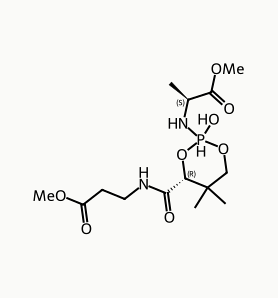 COC(=O)CCNC(=O)[C@@H]1O[PH](O)(N[C@@H](C)C(=O)OC)OCC1(C)C